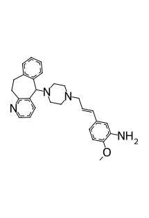 COc1ccc(C=CCN2CCN(C3c4ccccc4CCc4ncccc43)CC2)cc1N